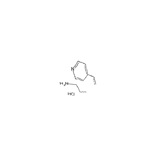 C=Cc1ccncc1.CCCN.Cl